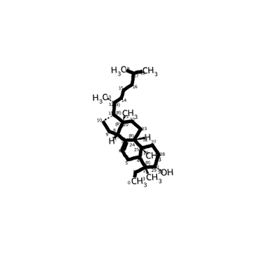 CC[C@]1(C)C2CC=C3[C@@H]4CC[C@H]([C@H](C)CCCC(C)C)[C@@]4(C)CC[C@@H]3[C@@]2(C)CC[C@@H]1O